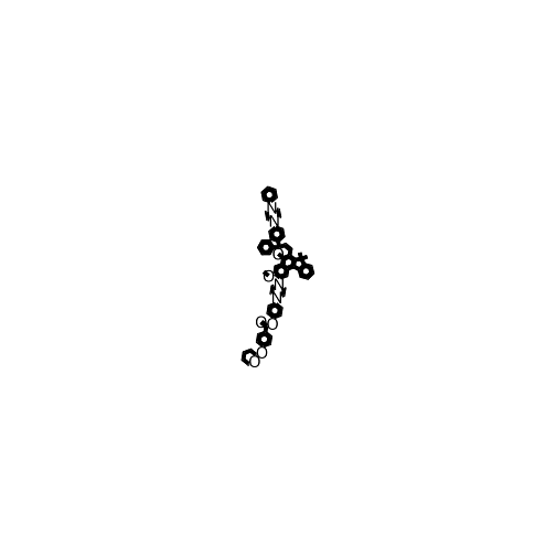 COc1cc2c3c(c4c(c2cc1N1CCN(c2ccc(OC(=O)c5ccc(OC6CCCCO6)cc5)cc2)CC1)-c1ccccc1C4(C)C)C=CC(c1ccccc1)(c1ccc(N2CCN(c4ccccc4)CC2)cc1)O3